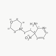 NC1N=CC=CC1(CCN1CCOCC1)[N+](=O)[O-]